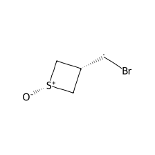 [O-][S@+]1C[C@H]([CH]Br)C1